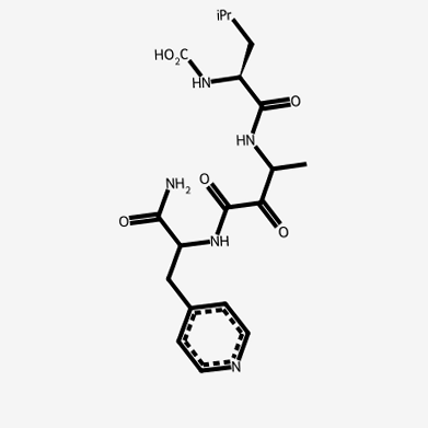 CC(C)C[C@H](NC(=O)O)C(=O)NC(C)C(=O)C(=O)NC(Cc1ccncc1)C(N)=O